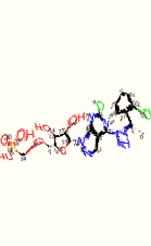 C[C@H](Nc1nc(Cl)nc2c1cnn2[C@@H]1O[C@H](COCP(=O)(O)O)[C@@H](O)[C@H]1O)c1ccccc1Cl